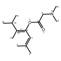 CC(C)=C/C(OC(=O)CN(C)C)=C(\C)C(C)C